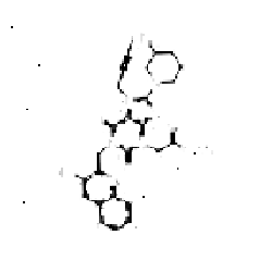 CC#CCn1c(N2CCCC(N)C2)nc2c1c(=O)n(Cc1nc3ccccc3cc1C#N)c(=O)n2CC(=O)OC